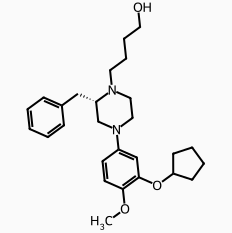 COc1ccc(N2CCN(CCCCO)[C@@H](Cc3ccccc3)C2)cc1OC1CCCC1